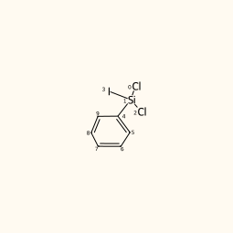 Cl[Si](Cl)(I)c1ccccc1